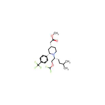 COC(=O)C[C@@H]1CCN([C@H](CCC(C)C)COC(F)F)[C@H](c2ccc(C(F)(F)F)cc2)C1